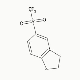 O=S(=O)(c1ccc2c(c1)CC[CH]2)C(F)(F)F